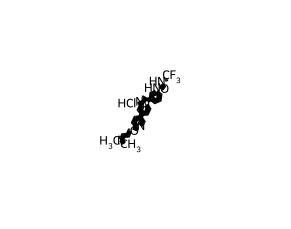 CN(C)CCCOc1ccc(-c2ccn3c(-c4cccc(NC(=O)NCC(F)(F)F)c4)cnc3c2)cn1.Cl